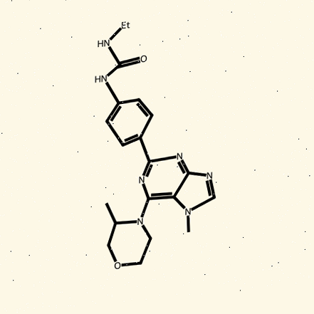 CCNC(=O)Nc1ccc(-c2nc(N3CCOCC3C)c3c(ncn3C)n2)cc1